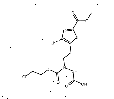 COC(=O)c1cc(Cl)c(CCN(NC(=O)O)C(=O)SCCCl)s1